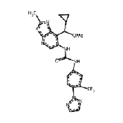 COC(c1c(NC(=O)Nc2ccc(-n3nccn3)c(C(F)(F)F)c2)cnc2sc(C)nc12)C1CC1